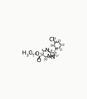 CCOC(=O)c1cnc2c(-c3cccc(Cl)c3)cnn2c1